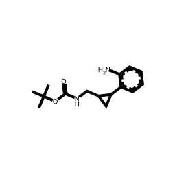 CC(C)(C)OC(=O)NCC1CC1c1ccccc1N